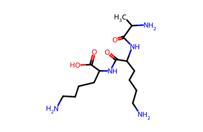 CC(N)C(=O)NC(CCCCN)C(=O)NC(CCCCN)C(=O)O